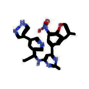 Cc1nc(NC(C)c2cncc(-c3cn[nH]c3)c2)cc(-c2cc([N+](=O)[O-])c3occ(C)c3c2)n1